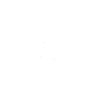 CC(Cl)CCl.Clc1ccc(Cl)cc1